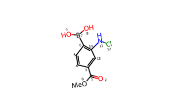 COC(=O)c1ccc(B(O)O)c(NCl)c1